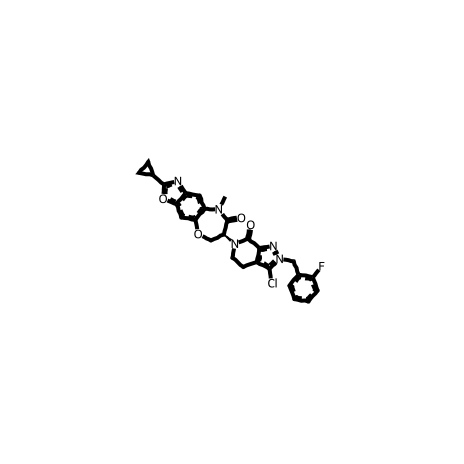 CN1C(=O)[C@@H](N2CCc3c(nn(Cc4ccccc4F)c3Cl)C2=O)COc2cc3oc(C4CC4)nc3cc21